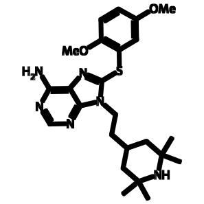 COc1ccc(OC)c(Sc2nc3c(N)ncnc3n2CCC2CC(C)(C)NC(C)(C)C2)c1